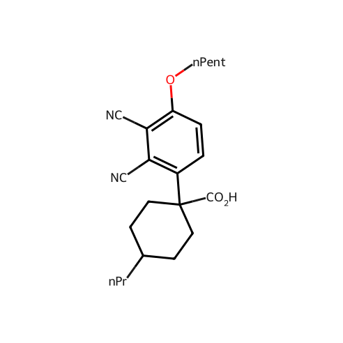 CCCCCOc1ccc(C2(C(=O)O)CCC(CCC)CC2)c(C#N)c1C#N